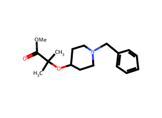 COC(=O)C(C)(C)OC1CCN(Cc2ccccc2)CC1